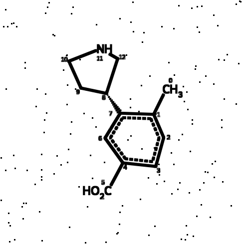 Cc1ccc(C(=O)O)cc1[C@@H]1CCNC1